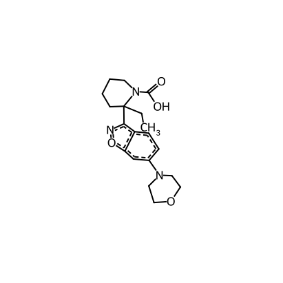 CCC1(c2noc3cc(N4CCOCC4)ccc23)CCCCN1C(=O)O